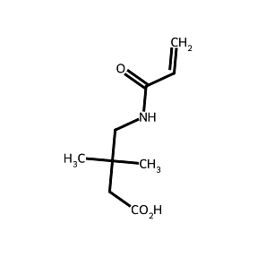 C=CC(=O)NCC(C)(C)CC(=O)O